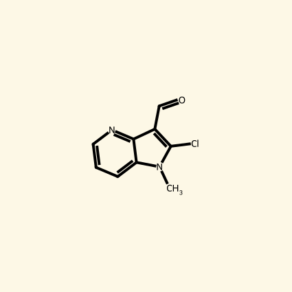 Cn1c(Cl)c(C=O)c2ncccc21